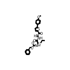 CCC[C@H](NC(=O)OCc1ccccc1)C(=O)NNC(=O)c1ccc(-c2ccc(OC)cc2)s1